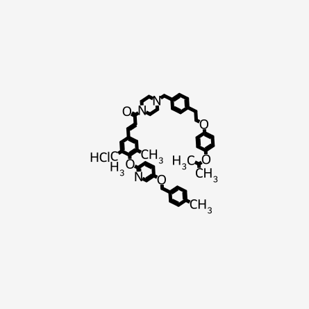 Cc1ccc(COc2ccc(Oc3c(C)cc(C=CC(=O)N4CCN(Cc5ccc(CCOc6ccc(OC(C)C)cc6)cc5)CC4)cc3C)nc2)cc1.Cl